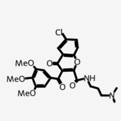 COc1cc(C(=O)c2c(C(=O)NCCCN(C)C)oc3ccc(Cl)cc3c2=O)cc(OC)c1OC